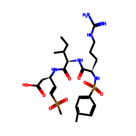 CCC(C)[C@H](NC(=O)[C@H](CCCNC(=N)N)NS(=O)(=O)c1ccc(C)cc1)C(=O)N[C@H](/C=C/S(C)(=O)=O)CC(=O)O